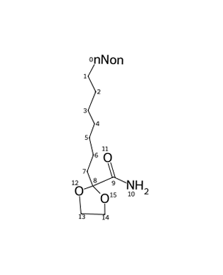 CCCCCCCCCCCCCCCCC1(C(N)=O)OCCO1